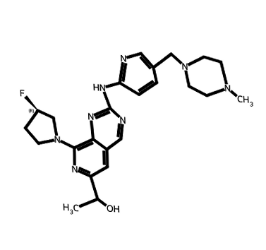 CC(O)c1cc2cnc(Nc3ccc(CN4CCN(C)CC4)cn3)nc2c(N2CC[C@@H](F)C2)n1